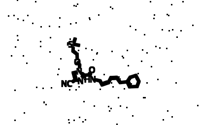 C[Si](C)(C)CCOCn1cc(C#N)nc1C(=O)NC/C=C\C=C/CC1=CCCCC1